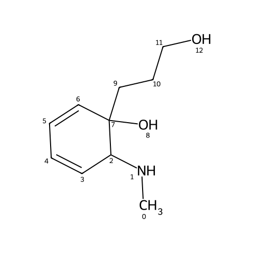 CNC1C=CC=CC1(O)CCCO